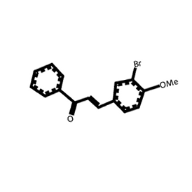 COc1ccc(C=CC(=O)c2ccccc2)cc1Br